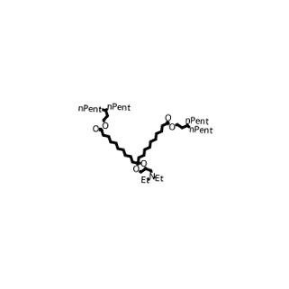 CCCCCC(CCCCC)CCOC(=O)CCCCCCCCCC1(CCCCCCCCCC(=O)OCCC(CCCCC)CCCCC)OCC(CN(CC)CC)O1